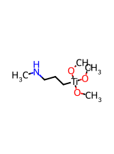 CNCC[CH2][Ti]([O]C)([O]C)[O]C